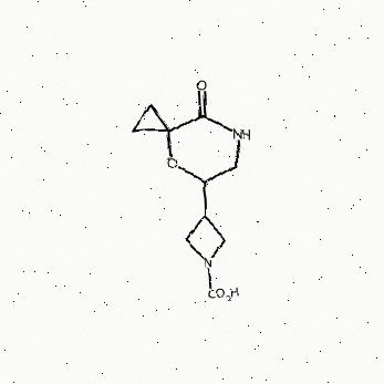 O=C(O)N1CC(C2CNC(=O)C3(CC3)O2)C1